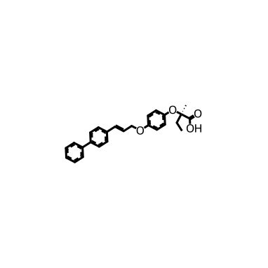 CC[C@@](C)(Oc1ccc(OC/C=C/c2ccc(-c3ccccc3)cc2)cc1)C(=O)O